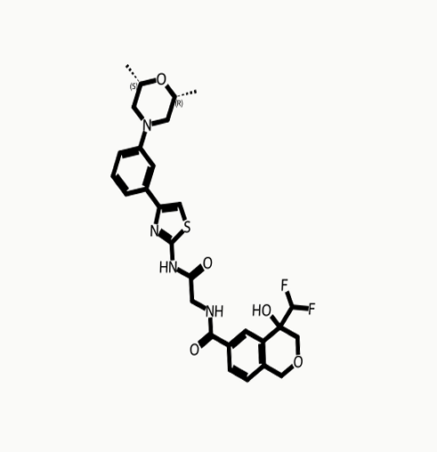 C[C@@H]1CN(c2cccc(-c3csc(NC(=O)CNC(=O)c4ccc5c(c4)C(O)(C(F)F)COC5)n3)c2)C[C@H](C)O1